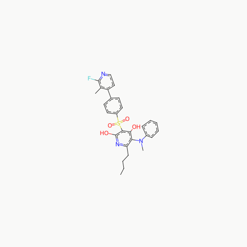 CCCCc1nc(O)c(S(=O)(=O)c2ccc(-c3ccnc(F)c3C)cc2)c(O)c1N(C)c1ccccc1